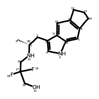 C[C@H](Cc1c[nH]c2cc3c(cc12)CCC3)NCC(F)(F)CO